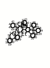 CCC1=C(c2cc3c(cc2-c2ccccc2)C(c2ccccc2)(c2ccccc2)c2ccccc2-3)[C@@H](C)C(C)=C(c2ccccc2)N=C1c1cccc2c1OCCc1ccccc1-2